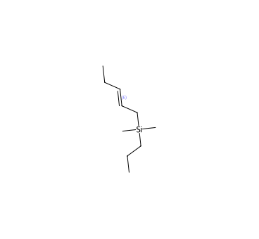 CC/C=C/C[Si](C)(C)CCC